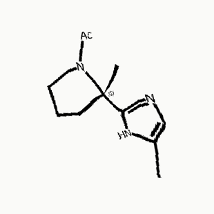 CC(=O)N1CCC[C@@]1(C)c1ncc(C)[nH]1